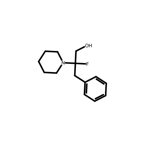 OCC(F)(Cc1ccccc1)N1CCCCC1